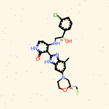 Cc1cc(N2CCO[C@@H](CF)C2)cc2[nH]c(-c3c(NC[C@@H](O)c4cccc(Cl)c4)cc[nH]c3=O)nc12